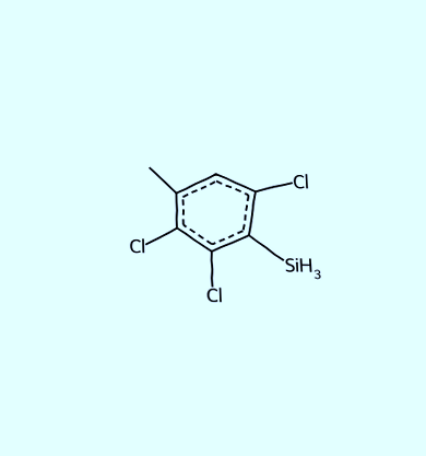 Cc1cc(Cl)c([SiH3])c(Cl)c1Cl